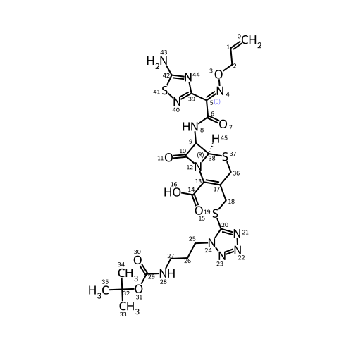 C=CCO/N=C(/C(=O)NC1C(=O)N2C(C(=O)O)=C(CSc3nnnn3CCCNC(=O)OC(C)(C)C)CS[C@H]12)c1nsc(N)n1